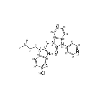 CC(C)CCn1c(Cn2c(=O)n(-c3ccncc3)c3ccncc32)nc2nc(Cl)ccc21